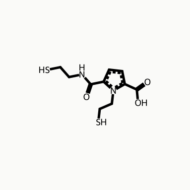 O=C(O)c1ccc(C(=O)NCCS)n1CCS